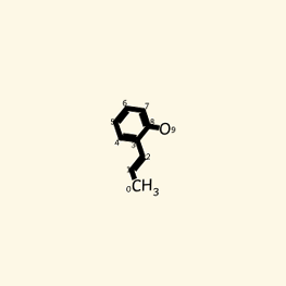 C/C=C/c1ccccc1[O]